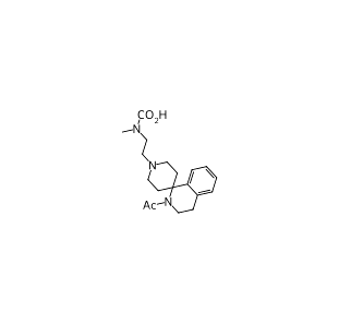 CC(=O)N1CCc2ccccc2C12CCN(CCN(C)C(=O)O)CC2